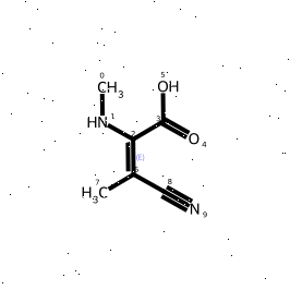 CN/C(C(=O)O)=C(\C)C#N